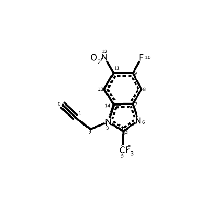 C#CCn1c(C(F)(F)F)nc2cc(F)c([N+](=O)[O-])cc21